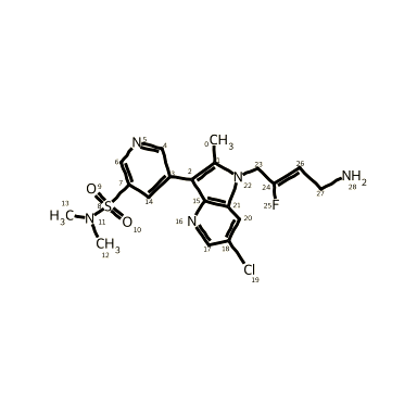 Cc1c(-c2cncc(S(=O)(=O)N(C)C)c2)c2ncc(Cl)cc2n1CC(F)=CCN